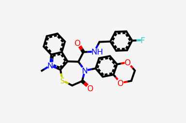 Cn1c2c(c3ccccc31)C(C(=O)NCc1ccc(F)cc1)N(c1ccc3c(c1)OCCO3)C(=O)CS2